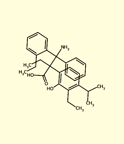 CCc1ccccc1C(N)(c1ccccc1)C(CC)(C(=O)O)c1ccc(C(C)C)c(CC)c1O